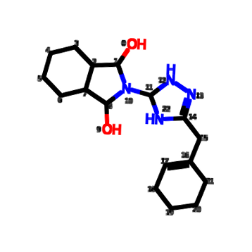 OC1C2CCCCC2C(O)N1C1NN=C(CC2=CCCCC2)N1